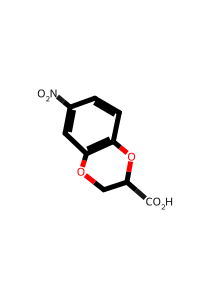 O=C(O)C1COc2cc([N+](=O)[O-])ccc2O1